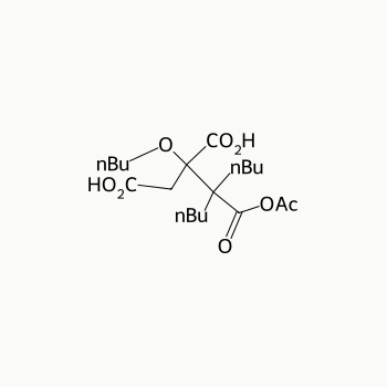 CCCCOC(CC(=O)O)(C(=O)O)C(CCCC)(CCCC)C(=O)OC(C)=O